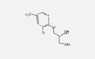 Cc1ccc(OCC(O)CO)c(Cl)c1